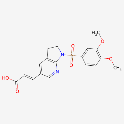 COc1ccc(S(=O)(=O)N2CCc3cc(C=CC(=O)O)cnc32)cc1OC